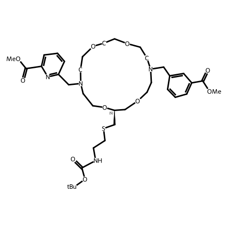 COC(=O)c1cccc(CN2CCOCCOCCN(Cc3cccc(C(=O)OC)n3)CCO[C@H](CSCCNC(=O)OC(C)(C)C)COCC2)c1